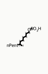 CCCCCC(C)CCCCCCOS(=O)(=O)O